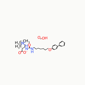 C[N+](C)(C)CC(CC(=O)[O-])NC(=O)NCCCCCCCOc1ccc(-c2ccccc2)cc1.O=CO